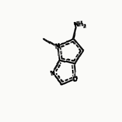 Cn1c(N)cc2ocnc21